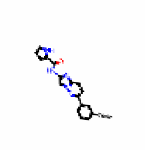 COc1cccc(-c2ccc3nc(NC(=O)c4ccc[nH]4)cn3n2)c1